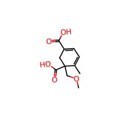 COCC1(C(=O)O)CC(C(=O)O)=CC=C1C